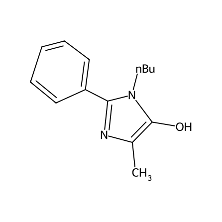 CCCCn1c(-c2ccccc2)nc(C)c1O